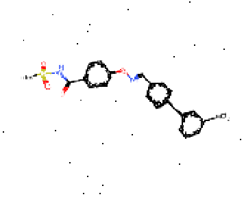 CCCCCCS(=O)(=O)NC(=O)c1ccc(O/N=C/c2ccc(-c3cccc([N+](=O)[O-])c3)cc2)cc1